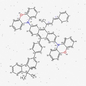 C/C(=C\C=C1\C=CC=CC1)c1c2cc(N3c4ccccc4Oc4ccccc43)ccc2c(-c2ccc(-c3ccc4c(c3)-c3ccccc3C4(C)C)cc2)c2cc(N3c4ccccc4Oc4ccccc43)ccc12